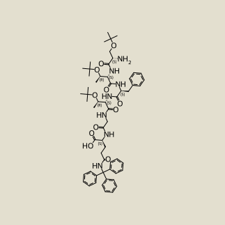 C[C@@H](OC(C)(C)C)[C@H](NC(=O)[C@H](Cc1ccccc1)NC(=O)[C@@H](NC(=O)[C@@H](N)COC(C)(C)C)[C@@H](C)OC(C)(C)C)C(=O)NCC(=O)N[C@@H](CCC(=O)NC(c1ccccc1)(c1ccccc1)c1ccccc1)C(=O)O